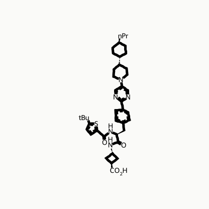 CCC[C@H]1CC[C@H](C2CCN(c3cnc(-c4ccc(C[C@H](NC(=O)c5ccc(C(C)(C)C)s5)C(=O)N[C@H]5C[C@H](C(=O)O)C5)cc4)nc3)CC2)CC1